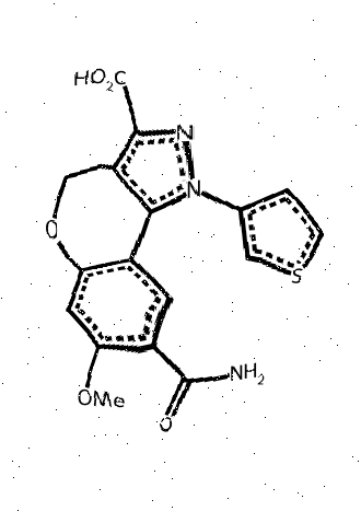 COc1cc2c(cc1C(N)=O)-c1c(c(C(=O)O)nn1-c1ccsc1)CO2